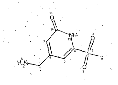 CS(=O)(=O)c1cc(CN)cc(=O)[nH]1